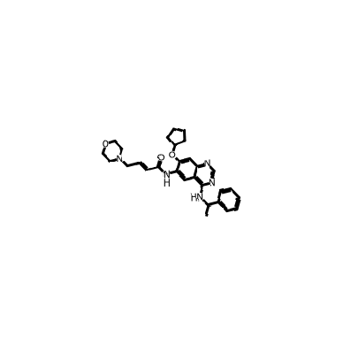 CC(Nc1ncnc2cc(OC3CCCC3)c(NC(=O)C=CCN3CCOCC3)cc12)c1ccccc1